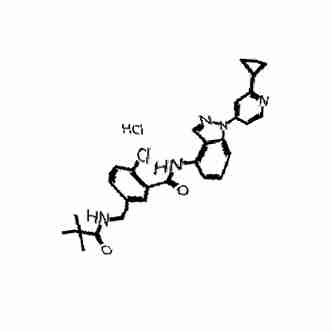 CC(C)(C)C(=O)NCc1ccc(Cl)c(C(=O)Nc2cccc3c2cnn3-c2ccnc(C3CC3)c2)c1.Cl